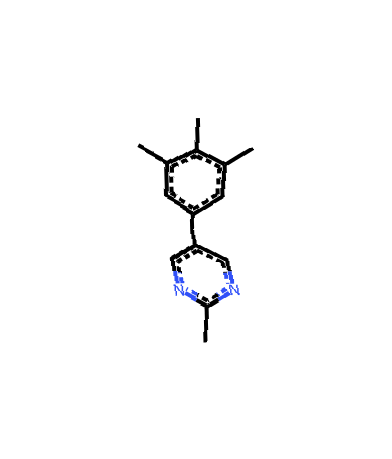 Cc1ncc(-c2cc(C)c(C)c(C)c2)cn1